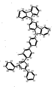 Cc1cc(-c2ccc(-n3c4ccncc4c4cc(-n5c6ccccc6c6ccccc65)ccc43)cc2)ccc1-c1nc(-c2ccccc2)nc(-c2ccccc2)n1